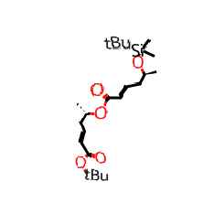 C[C@@H](C/C=C/C(=O)OC(C)(C)C)OC(=O)/C=C/C[C@H](C)O[Si](C)(C)C(C)(C)C